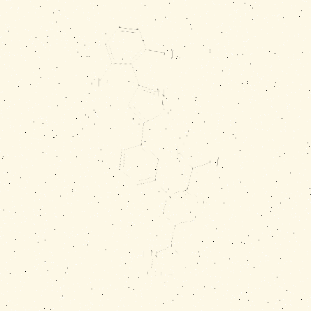 CC(CN(C(=O)C(Cl)Cl)c1cccc(-c2cc(-c3c(Cl)cccc3Cl)no2)c1)C(C)NC(=O)O